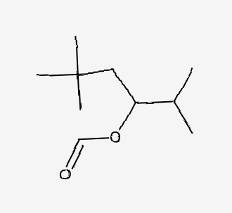 CC(C)C(CC(C)(C)C)OC=O